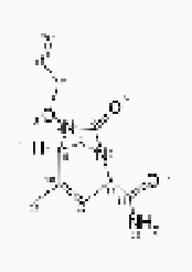 C=CCON1C(=O)N2C[C@H]1C(C)=C[C@H]2C(N)=O